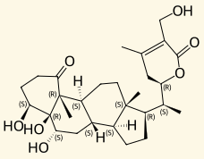 CC1=C(CO)C(=O)O[C@@H]([C@@H](C)[C@H]2CC[C@H]3[C@@H]4C[C@H](O)[C@]5(O)[C@@H](O)CCC(=O)[C@]5(C)[C@H]4CC[C@]23C)C1